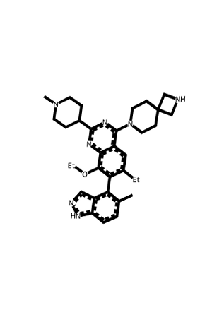 CCOc1c(-c2c(C)ccc3[nH]ncc23)c(CC)cc2c(N3CCC4(CC3)CNC4)nc(C3CCN(C)CC3)nc12